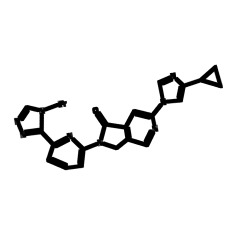 CC(C)n1cnnc1-c1cccc(N2Cc3cnc(-n4cnc(C5CC5)c4)cc3C2=O)n1